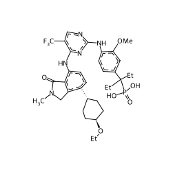 CCO[C@H]1CC[C@H](c2ccc(Nc3nc(Nc4ccc(C(CC)(CC)P(=O)(O)O)cc4OC)ncc3C(F)(F)F)c3c2CN(C)C3=O)CC1